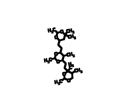 CC1OC(CCC2CC(C)(C)OC(C)O2)C(C)C(CCC2(C)OC(C)OCC2C)O1